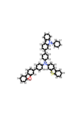 c1ccc(-n2c3ccccc3c3ccc(-c4ccc(N(c5ccc(-c6ccc7c(c6)oc6ccccc67)cc5)c5ccc6c(c5)sc5ccccc56)cc4)cc32)cc1